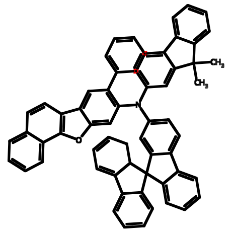 CC1(C)c2ccccc2-c2ccc(N(c3ccc4c(c3)C3(c5ccccc5C5=CC=CCC53)c3ccccc3-4)c3cc4oc5c6ccccc6ccc5c4cc3-c3ccccc3)cc21